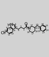 O=C(CCCc1c[nH]c2cc(Cl)ccc12)N1CCCC(Cc2ccccc2)C1